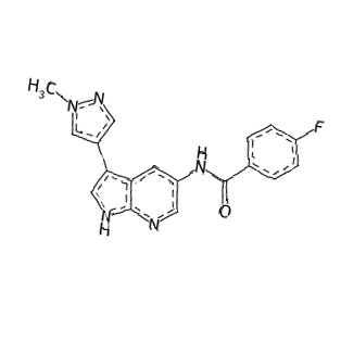 Cn1cc(-c2c[nH]c3ncc(NC(=O)c4ccc(F)cc4)cc23)cn1